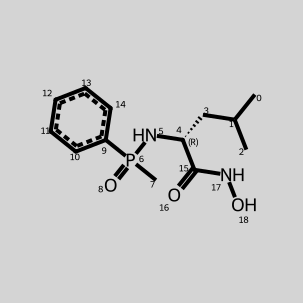 CC(C)C[C@@H](NP(C)(=O)c1ccccc1)C(=O)NO